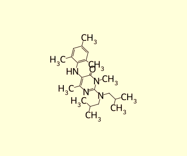 Cc1cc(C)c(Nc2c(C)nc(N(CC(C)C)CC(C)C)n(C)c2=O)c(C)c1